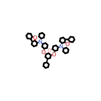 c1ccc(-c2cc3c4c(c2)Oc2cc(N(c5ccccc5)c5cccc6c5oc5ccccc56)ccc2B4c2ccc(N(c4ccccc4)c4cccc5c4oc4ccccc45)cc2O3)cc1